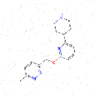 Cc1ccc(COc2cccc(C3CCNCC3)n2)nn1